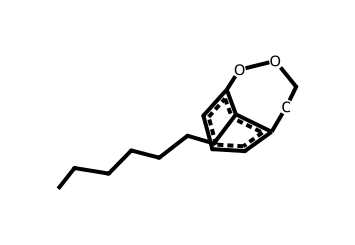 CCCCCCCc1c2cccc1OOCC2